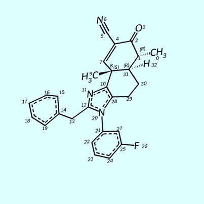 C[C@H]1C(=O)C(C#N)=C[C@@]2(C)c3nc(Cc4ccccc4)n(-c4cccc(F)c4)c3CC[C@H]12